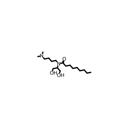 CCCCCCCCC(=O)N(CCCCN(C)C)C(CO)CO